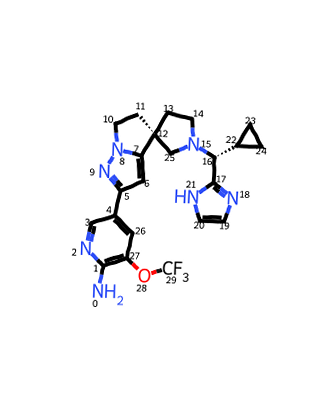 Nc1ncc(-c2cc3n(n2)CC[C@@]32CCN([C@@H](c3ncc[nH]3)C3CC3)C2)cc1OC(F)(F)F